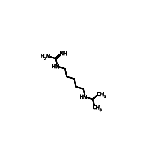 CC(C)NCCCCCNC(=N)N